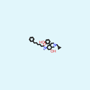 CN(C(=O)CCCCCc1ccccc1)C1CC(O)C2CN(CC3CC3)CCC2(c2cccc(O)c2)C1